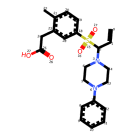 C=CC(N1CCN(c2ccccc2)CC1)S(=O)(=O)c1ccc(C)c(CC(=O)O)c1